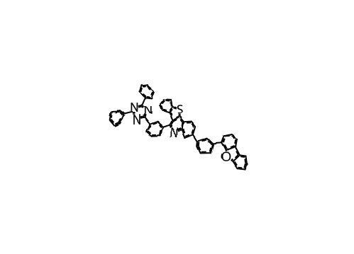 c1ccc(-c2nc(-c3ccccc3)nc(-c3cccc(-c4nc5cc(-c6cccc(-c7cccc8c7oc7ccccc78)c6)ccc5c5sc6ccccc6c45)c3)n2)cc1